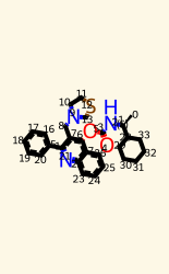 C[C@H](NC(=O)Oc1c(CN2CCSC2)c(-c2ccccc2)nc2ccccc12)C1CCCCC1